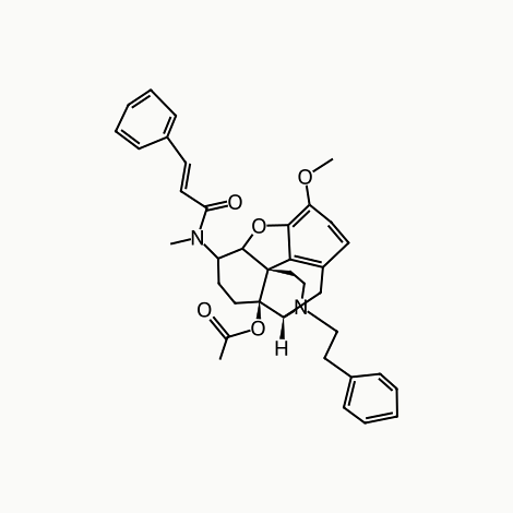 COc1ccc2c3c1OC1C(N(C)C(=O)/C=C/c4ccccc4)CC[C@@]4(OC(C)=O)[C@@H](C2)N(CCc2ccccc2)CC[C@]314